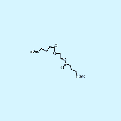 CCCCCCCCCCCCCC(=O)OCCOC(=O)CCCCCCCCCCCCC